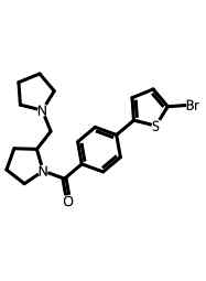 O=C(c1ccc(-c2ccc(Br)s2)cc1)N1CCCC1CN1CCCC1